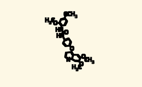 COc1ccc(NC(=O)Nc2ccc(Oc3ccnc4cc(OC)c(OC)cc34)cc2)c(OC)c1